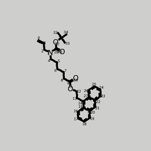 C=CCN(CCCCCC(=O)OCCc1c2ccccc2cc2ccccc12)C(=O)OC(C)(C)C